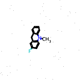 CN1c2ccccc2Cc2cc(F)ccc21